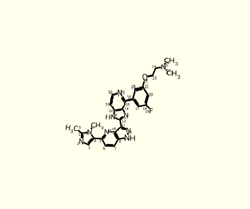 Cc1ncc(-c2ccc3[nH]nc(-c4nc5c(-c6cc(F)cc(OCCN(C)C)c6)nccc5[nH]4)c3n2)n1C